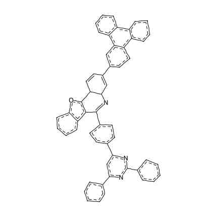 C1=CC2c3oc4ccccc4c3C(c3ccc(-c4cc(-c5ccccc5)nc(-c5ccccc5)n4)cc3)=NC2C=C1c1ccc2c3ccccc3c3ccccc3c2c1